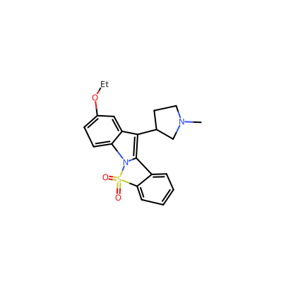 CCOc1ccc2c(c1)c(C1CCN(C)C1)c1n2S(=O)(=O)c2ccccc2-1